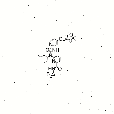 CCCC(CC)N(C(=O)Nc1cc(OC[C@H]2COC(C)(C)O2)ccn1)c1nc(C(=O)NC2CC2(F)F)ccc1C